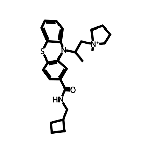 CC(C[N+]1(C)CCCC1)N1c2ccccc2Sc2ccc(C(=O)NCC3CCC3)cc21